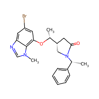 C[C@H](c1ccccc1)N1C[C@H]([C@@H](C)Oc2cc(Br)cc3ncn(C)c23)CC1=O